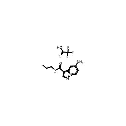 CCCNC(=O)c1cnn2ccc(N)cc12.O=C(O)C(F)(F)F